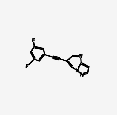 Fc1cc(F)cc(C#Cc2cnc3ccnn3c2)c1